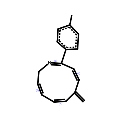 C=C1/C=C\C=C/C/N=C(c2ccc(C)cc2)\C=C/1